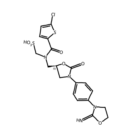 N=C1OCCN1c1ccc(N2C[C@@H](CN(CS(=O)(=O)O)C(=O)c3ccc(Cl)s3)OC2=O)cc1